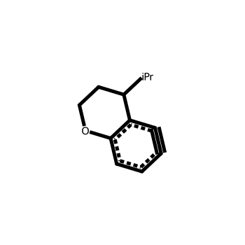 CC(C)C1CCOc2ccc#cc21